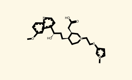 COc1ccc2nccc([C@@H](O)CC[C@@H]3CCN(CCSc4ccn(C)c4)C[C@@H]3CC(=O)O)c2c1